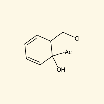 CC(=O)C1(O)C=CC=CC1CCl